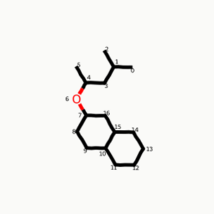 CC(C)CC(C)OC1CCC2CCCCC2C1